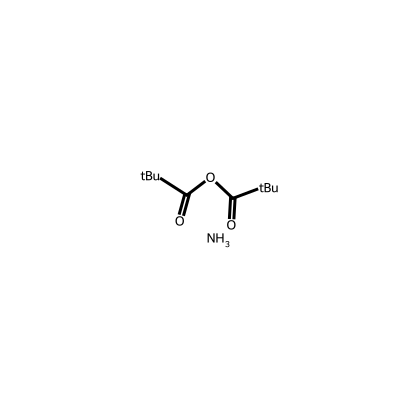 CC(C)(C)C(=O)OC(=O)C(C)(C)C.N